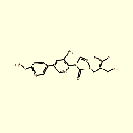 COc1ccc(-c2cnc(-n3cnn(CC(CN)=C(F)F)c3=O)c(C)c2)cn1